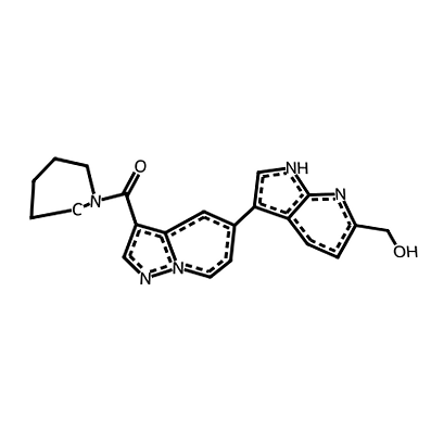 O=C(c1cnn2ccc(-c3c[nH]c4nc(CO)ccc34)cc12)N1CCCCC1